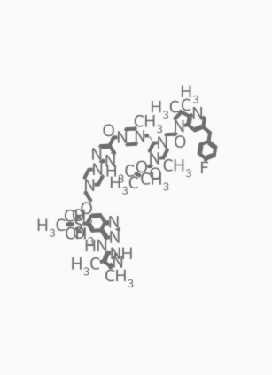 Cc1n[nH]c(Nc2ncnc3cc(OCCN4CCN(c5ncc(C(=O)N6CCN(C[C@H]7CN(C(=O)OC(C)(C)C)[C@@H](C)CN7CC(=O)N7CC(C)(C)c8ncc(Cc9ccc(F)cc9)cc87)[C@H](C)C6)cn5)CC4)c(S(=O)(=O)C(C)(C)C)cc23)c1C